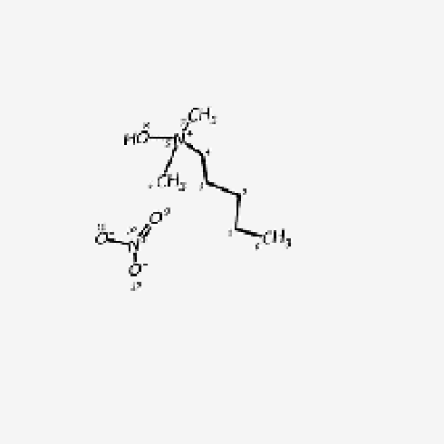 CCCCC[N+](C)(C)O.O=[N+]([O-])[O-]